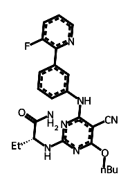 CCCCOc1nc(N[C@H](CC)C(N)=O)nc(Nc2cccc(-c3ncccc3F)c2)c1C#N